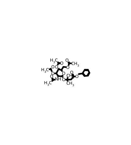 CC(=O)N[C@H]1C(OC(C)=O)[C@@H](OC(C)=O)C(COC(C)=O)O[C@H]1OC(C)(C)CC(=O)OCc1ccccc1